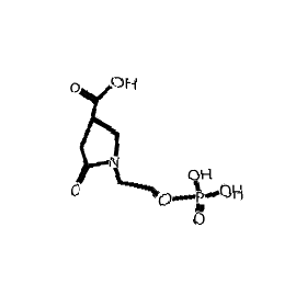 O=C(O)C1CC(=O)N(CCOP(=O)(O)O)C1